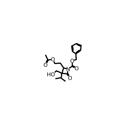 CC(=O)OCCC1N(C(=O)OCc2ccccc2)C(=O)C1(CO)C(C)C